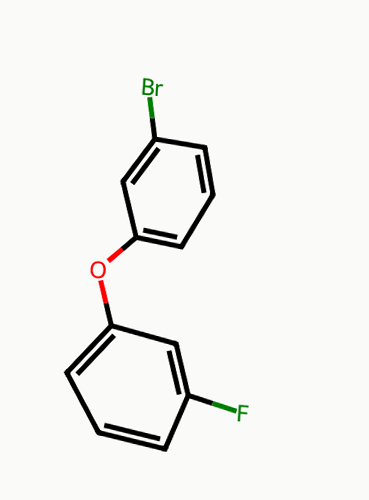 Fc1cccc(Oc2cccc(Br)c2)c1